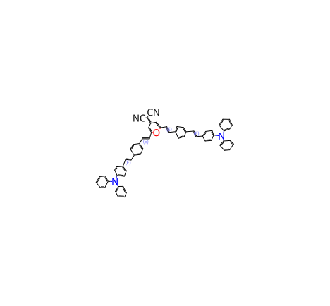 N#CC(C#N)=C1C=C(/C=C/c2ccc(/C=C/c3ccc(N(c4ccccc4)c4ccccc4)cc3)cc2)OC(/C=C/c2ccc(/C=C/c3ccc(N(c4ccccc4)c4ccccc4)cc3)cc2)=C1